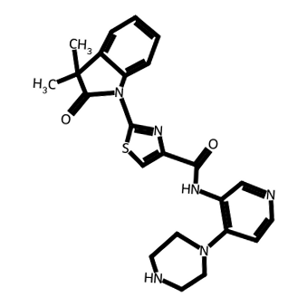 CC1(C)C(=O)N(c2nc(C(=O)Nc3cnccc3N3CCNCC3)cs2)c2ccccc21